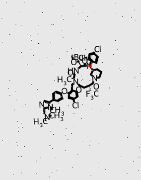 CC(OC(C)(C)C)[C@@H]1NC(=O)[C@H](C)N(Cc2ccc(Cl)cc2Oc2ccc(-c3cnc(CN(C)C)n3C)cc2)C(=O)C[C@@H](CC(F)(F)F)C(=O)N2CCC[C@@](Cc3ccc(Cl)cc3)(C2)NC1=O